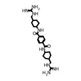 N=C(N)NCC1CCC(NC(=O)c2ccc(C(=O)NC3CCC(CNC(=N)N)CC3)cc2)CC1